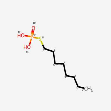 CCCCCCCCSP(=O)(O)O